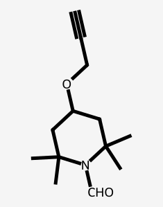 C#CCOC1CC(C)(C)N(C=O)C(C)(C)C1